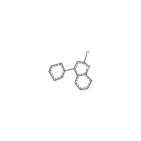 Clc1cc(-c2ccccc2)c2ccccc2n1